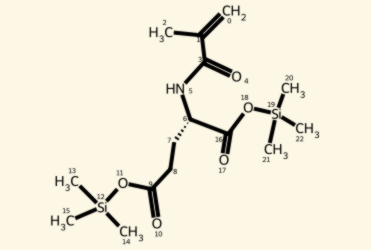 C=C(C)C(=O)N[C@@H](CCC(=O)O[Si](C)(C)C)C(=O)O[Si](C)(C)C